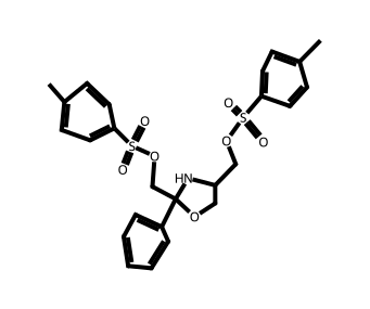 Cc1ccc(S(=O)(=O)OCC2COC(COS(=O)(=O)c3ccc(C)cc3)(c3ccccc3)N2)cc1